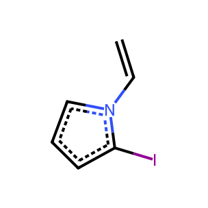 C=Cn1cccc1I